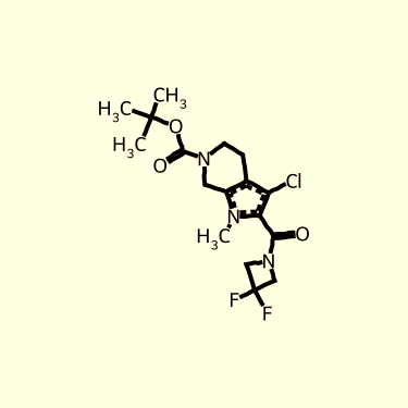 Cn1c2c(c(Cl)c1C(=O)N1CC(F)(F)C1)CCN(C(=O)OC(C)(C)C)C2